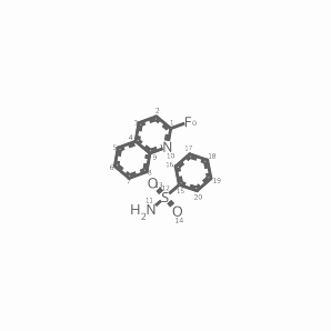 Fc1ccc2ccccc2n1.NS(=O)(=O)c1ccccc1